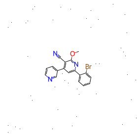 COc1nc(-c2ccccc2Br)cc(-c2cccnc2)c1C#N